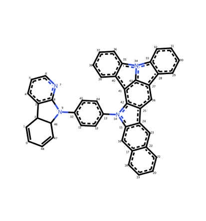 C1=CC2c3cccnc3N(c3ccc(-n4c5cc6ccccc6cc5c5cc6c7ccccc7n7c8ccccc8c(c54)c67)cc3)C2C=C1